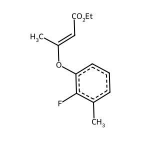 CCOC(=O)C=C(C)Oc1cccc(C)c1F